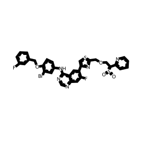 O=S(=O)=C(COCc1nc(-c2cc3c(Nc4ccc(OCc5cccc(F)c5)c(Br)c4)ncnc3cc2F)cs1)c1ccccn1